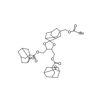 CC(C)(C)C(=O)OCC12CC3CC(C1)C1(OC(COC(=O)C45CC6CC(C4)C(=O)C(C6)C5)C(COC(=O)C45CC6CC(C4)C(=O)C(C6)C5)O1)C(C3)C2